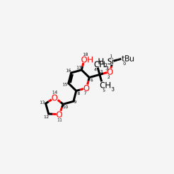 CC(C)(C)[SiH2]OC(C)(C)C1OC(CC2OCCO2)C=CC1O